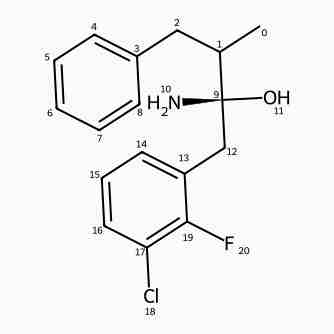 CC(Cc1ccccc1)[C@](N)(O)Cc1cccc(Cl)c1F